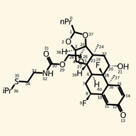 CCCC1O[C@@H]2C[C@H]3[C@@H]4C[C@H](F)C5=CC(=O)C=C[C@]5(C)[C@@]4(F)[C@@H](O)C[C@]3(C)[C@]2(C(=O)COC(=O)NCCSC(C)C)O1